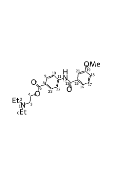 CCN(CC)CCOC(=O)c1ccc(NC(=O)c2cccc(OC)c2)cc1